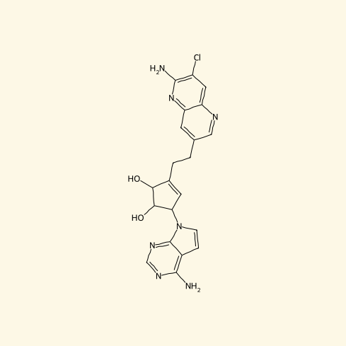 Nc1nc2cc(CCC3=CC(n4ccc5c(N)ncnc54)C(O)C3O)cnc2cc1Cl